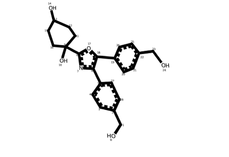 OCc1ccc(-c2nc(C3(O)CCC(O)CC3)oc2-c2ccc(CO)cc2)cc1